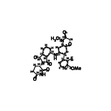 COc1nccc(-c2cc3c(cc2Nc2cccc4c2C(=O)N([C@H]2CCC(=O)NC2=O)C4=O)N(C)C(=O)CO3)c1F